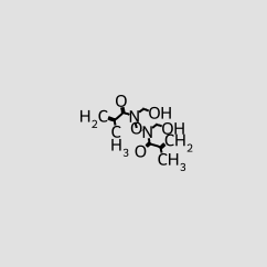 C=C(C)C(=O)N(CO)ON(CO)C(=O)C(=C)C